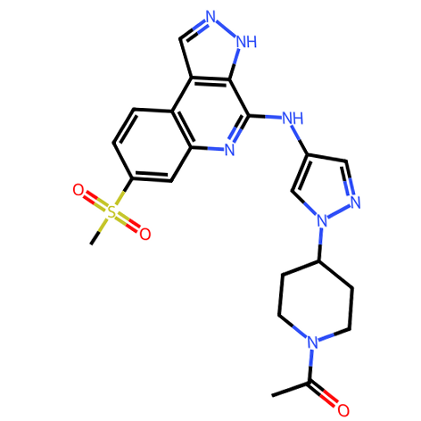 CC(=O)N1CCC(n2cc(Nc3nc4cc(S(C)(=O)=O)ccc4c4cn[nH]c34)cn2)CC1